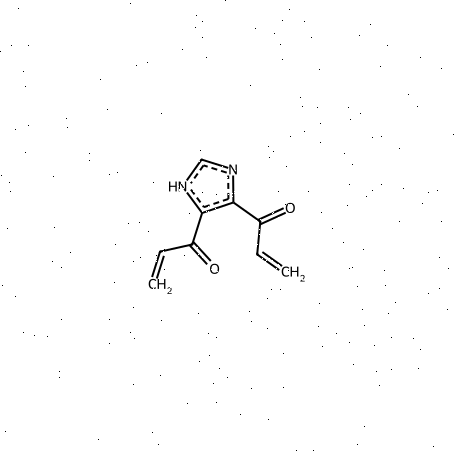 C=CC(=O)c1nc[nH]c1C(=O)C=C